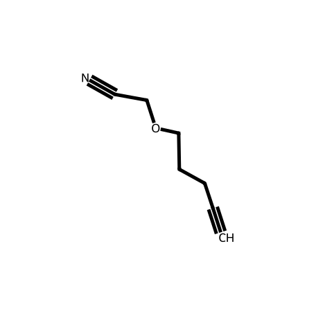 C#CCCCOCC#N